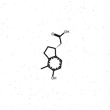 Cc1c(O)ccc2c1CC[C@@H]2CC(=O)O